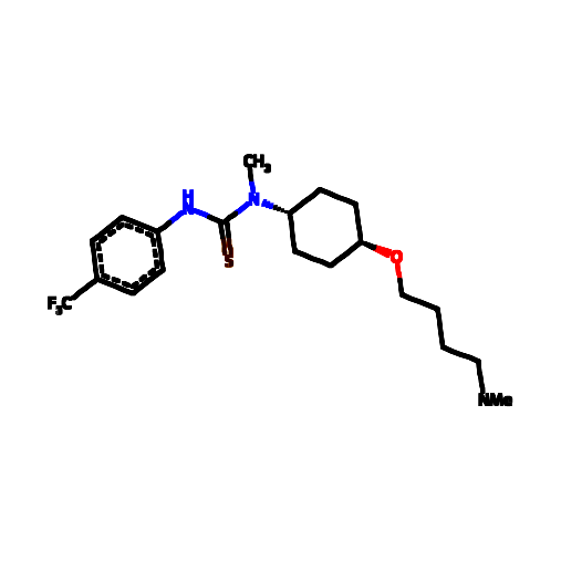 CNCCCCO[C@H]1CC[C@H](N(C)C(=S)Nc2ccc(C(F)(F)F)cc2)CC1